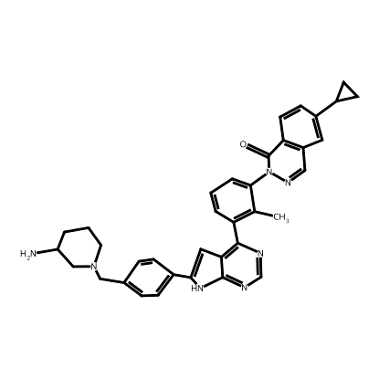 Cc1c(-c2ncnc3[nH]c(-c4ccc(CN5CCCC(N)C5)cc4)cc23)cccc1-n1ncc2cc(C3CC3)ccc2c1=O